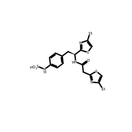 CCc1csc(CC(=O)N[C@@H](Cc2ccc(NS(=O)(=O)O)cc2)c2nc(CC)cs2)n1